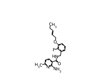 CC/C=C/COc1cccc(CNC(=O)c2ccc(C)nc2N)c1F